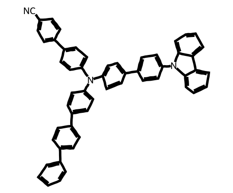 N#Cc1ccc(-c2ccc(N(c3ccc(-c4ccc(-c5ccccc5)cc4)cc3)c3ccc(-c4ccc(-n5c6ccccc6c6ccccc65)cc4)cc3)cc2)cc1